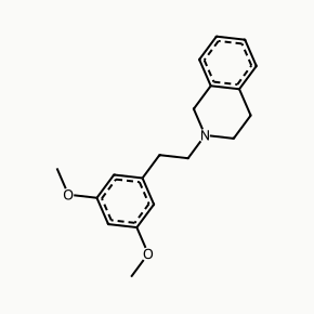 COc1cc(CCN2CCc3ccccc3C2)cc(OC)c1